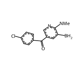 Bc1cc(C(=O)c2ccc(Cl)cc2)cnc1NC